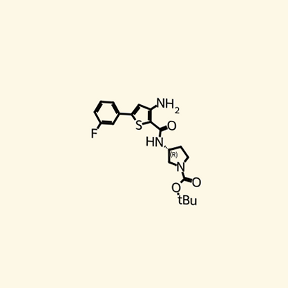 CC(C)(C)OC(=O)N1CC[C@@H](NC(=O)c2sc(-c3cccc(F)c3)cc2N)C1